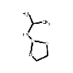 CC(C)NP1OCCO1